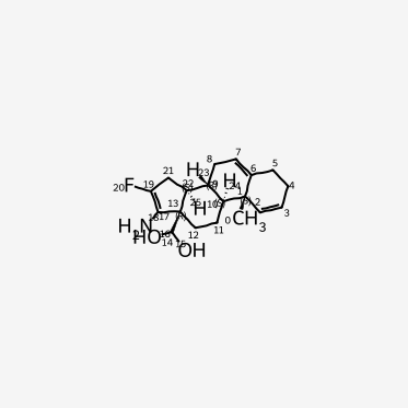 C[C@]12C=CCCC1=CC[C@@H]1[C@@H]2CC[C@]2(C(O)O)C(N)=C(F)C[C@@H]12